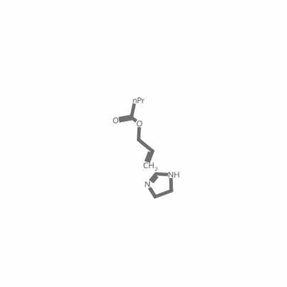 C1=NCCN1.C=CCOC(=O)CCC